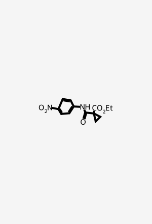 CCOC(=O)C1(C(=O)Nc2ccc([N+](=O)[O-])cc2)CC1